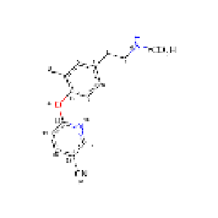 Cc1cc(CCNC(=O)O)ccc1Oc1ccc(C#N)cn1